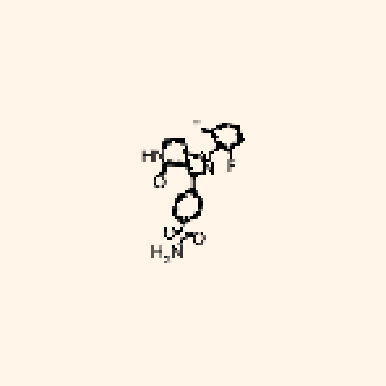 NS(=O)(=O)c1ccc(-c2nn(-c3c(F)cccc3F)c3cc[nH]c(=O)c23)cc1